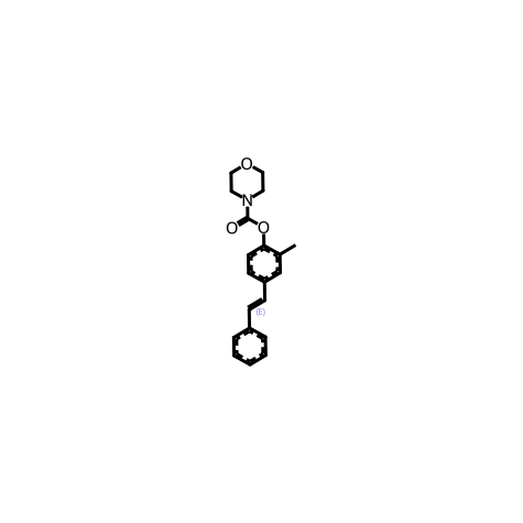 Cc1cc(/C=C/c2ccccc2)ccc1OC(=O)N1CCOCC1